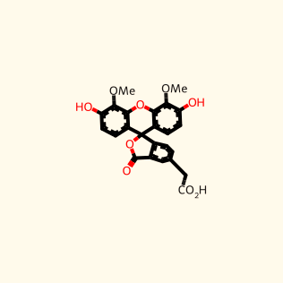 COc1c(O)ccc2c1Oc1c(ccc(O)c1OC)C21OC(=O)c2cc(CC(=O)O)ccc21